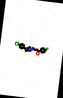 O=C(CCCN1CC2CC(c3ccc(Cl)cc3)C2C1)c1ccc(F)cc1